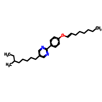 CCCCCCC=COc1ccc(-c2ncc(CCCCCC(C)CC)cn2)cc1